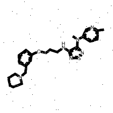 Cc1ccc(N(C)c2nsnc2NCCCOc2cccc(CN3CCCCC3)c2)cn1